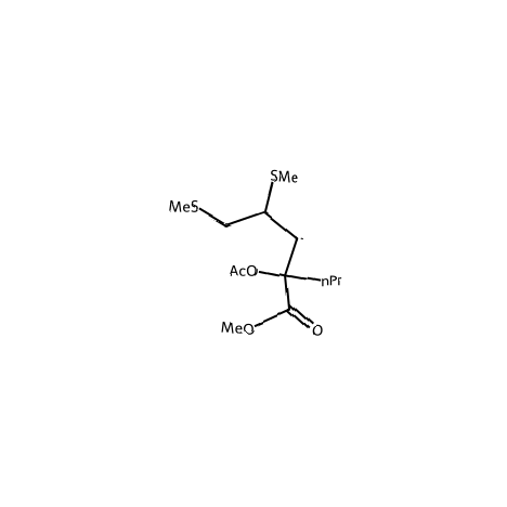 CCCC([CH]C(CSC)SC)(OC(C)=O)C(=O)OC